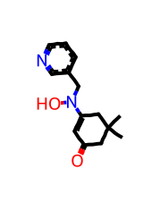 CC1(C)CC(=O)C=C(N(O)Cc2cccnc2)C1